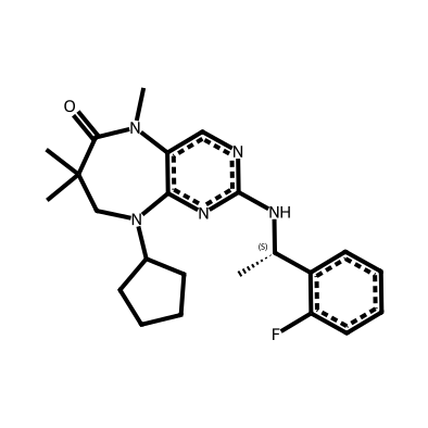 C[C@H](Nc1ncc2c(n1)N(C1CCCC1)CC(C)(C)C(=O)N2C)c1ccccc1F